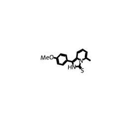 COc1ccc(-c2[nH]c(=S)n3c(C)cccc23)cc1